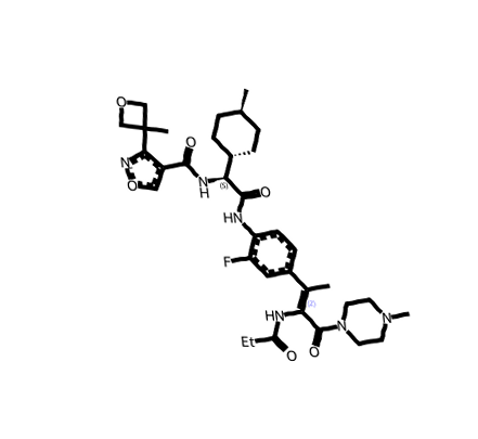 CCC(=O)N/C(C(=O)N1CCN(C)CC1)=C(/C)c1ccc(NC(=O)[C@@H](NC(=O)c2conc2C2(C)COC2)[C@H]2CC[C@H](C)CC2)c(F)c1